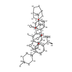 Cc1c(C(=O)NC2CC3CCC(C2)N3c2ccc(C(=O)N[C@@H](C)c3ccc(N4CCN(C)CC4)cc3)cn2)ccc2ccoc12